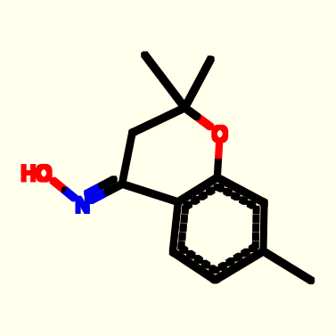 Cc1ccc2c(c1)OC(C)(C)C/C2=N\O